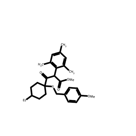 CCC1CCC(SCc2ccc(OC)cc2)(C(=O)C(C(=O)OC)c2c(C)cc(C)cc2C)CC1